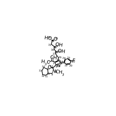 CC(C)c1c(C(=O)N(C)CC2CCCCC2)nn(-c2ccc(F)cc2)c1CC[C@@H](O)C[C@@H](O)CC(=O)O